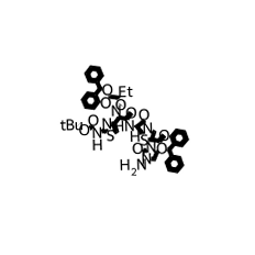 CC[C@H](O/N=C(\C(=O)N[C@@H]1C(=O)N2C[C@@](C(=O)OC(c3ccccc3)c3ccccc3)(N3CCN(N)C3=O)S[C@@H]12)c1csc(NC(=O)OC(C)(C)C)n1)C(=O)OC(c1ccccc1)c1ccccc1